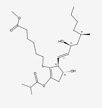 CCCC[C@@H](C)C[C@H](O)/C=C/[C@@H]1C(SCCCCCC(=O)OC)=C(OC(=O)C(C)C)C[C@H]1O